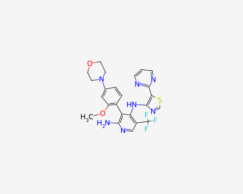 COc1cc(N2CCOCC2)ccc1-c1c(N)ncc(C(F)(F)F)c1Nc1ncsc1-c1ncccn1